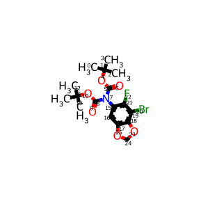 CC(C)(C)OC(=O)N(C(=O)OC(C)(C)C)c1cc2c(c(Br)c1F)OCO2